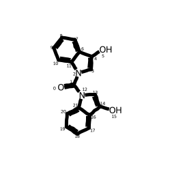 O=C(n1cc(O)c2ccccc21)n1cc(O)c2ccccc21